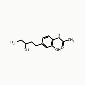 CCC(O)CCc1ccc(NC(C)=O)c(O)c1